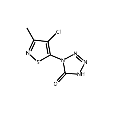 Cc1nsc(-n2nn[nH]c2=O)c1Cl